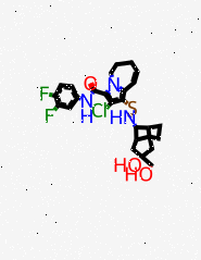 O=C(Nc1ccc(F)c(F)c1)c1c(Cl)c(SNC2C3CCC34CC(O)(CO)CC24)c2n1CCCC=C2